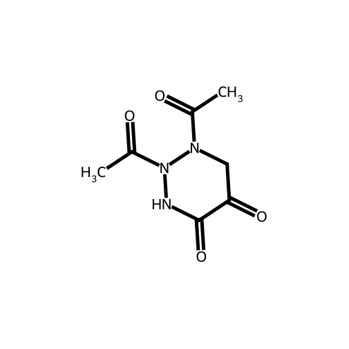 CC(=O)N1CC(=O)C(=O)NN1C(C)=O